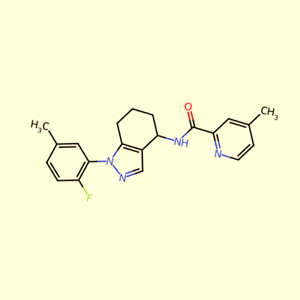 Cc1ccnc(C(=O)NC2CCCc3c2cnn3-c2cc(C)ccc2F)c1